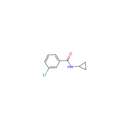 O=C(NC1CC1)c1c[c]cc(Cl)c1